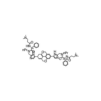 CCCN(Cc1ncc(-c2cc3c4c(c2)OCC2=CC(c5cnc(CN(CCC)C(=O)[C@H](NC(=O)CCN(C)C)c6ccccc6)[nH]5)CC(=C24)OC3)[nH]1)C(=O)[C@H](NC(=O)CCN(C)C)c1ccccc1